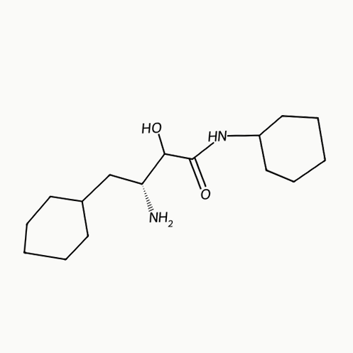 N[C@H](CC1CCCCC1)C(O)C(=O)NC1CCCCC1